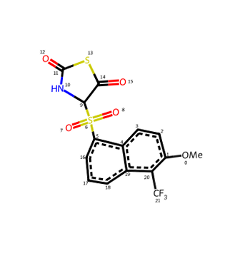 COc1ccc2c(S(=O)(=O)C3NC(=O)SC3=O)cccc2c1C(F)(F)F